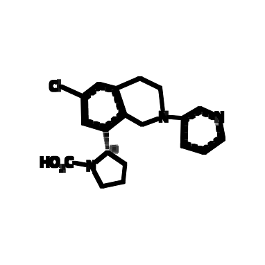 O=C(O)N1CCC[C@H]1c1cc(Cl)cc2c1CN(c1cccnc1)CC2